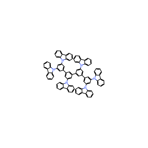 c1ccc2c(c1)c1ccccc1n2-c1cc(-c2cc(-c3cc(-n4c5ccccc5c5ccccc54)cc(-n4c5ccccc5c5ccccc54)c3)cc(-n3c4ccccc4c4ccccc43)c2)cc(-c2cc(-n3c4ccccc4c4ccccc43)cc(-n3c4ccccc4c4ccccc43)c2)c1